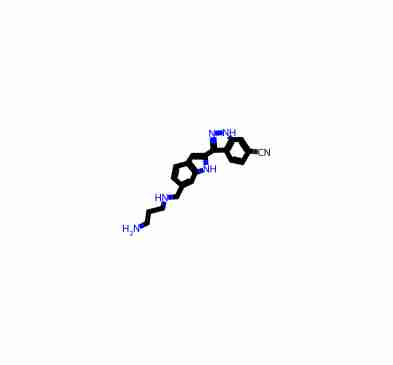 N#Cc1ccc2c(-c3cc4ccc(CNCCCN)cc4[nH]3)n[nH]c2c1